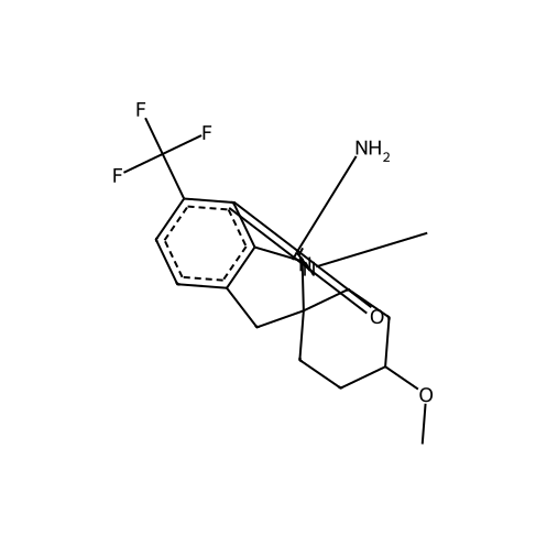 COC1CCC2(CC1)Cc1ccc(C(F)(F)F)cc1C21N=C(N)N(C)C1=O